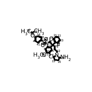 COc1cc2c(cc1Cl)C(CCCN1CCCC1N)(c1ccccc1F)C(=O)N2S(=O)(=O)c1ccc(OC(C)C)cc1